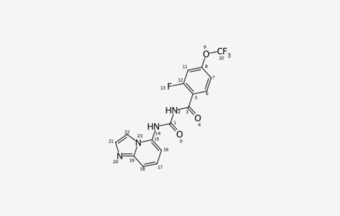 O=C(NC(=O)c1ccc(OC(F)(F)F)cc1F)Nc1cccc2nccn12